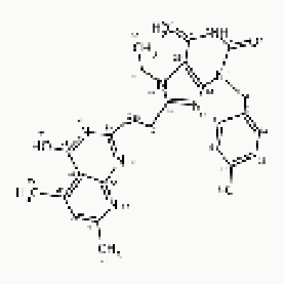 C=C1NC(=O)N(Cc2ccc(Cl)cc2)c2nc(CSc3nc(O)c4c(C)cc(C)nc4n3)n(CC)c21